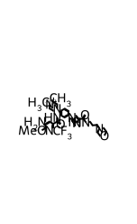 COc1nc(C(F)(F)F)c(C(=O)Nc2cc(-n3cc(C(=O)NCCCN4CCOCC4)nn3)ccc2N2CCN(C)[C@@H](C)C2)cc1N